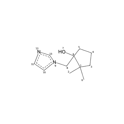 CC1(C)CCCC1(O)Cn1ccnc1